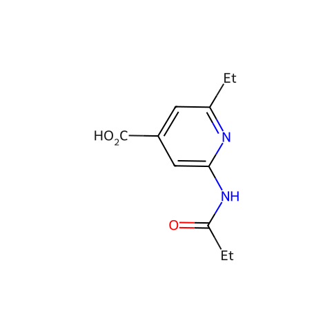 CCC(=O)Nc1cc(C(=O)O)cc(CC)n1